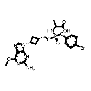 COc1nc(N)nc2c1ncn2[C@H]1C[C@@H](COP(=O)(NC(C)C(=O)O)Oc2ccc(Br)cc2)C1